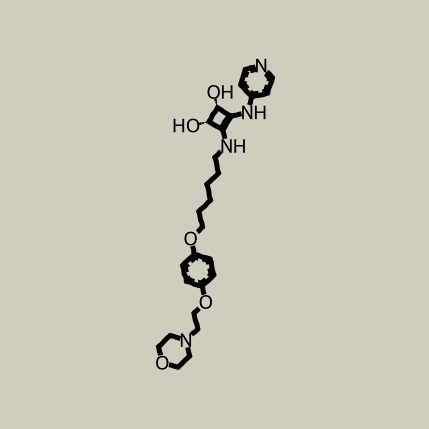 O[C@@H]1C(Nc2ccncc2)=C(NCCCCCCOc2ccc(OCCN3CCOCC3)cc2)[C@@H]1O